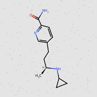 C[C@@H](CCc1ccc(C(N)=O)nc1)NC1CC1